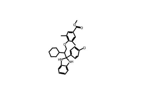 COC(=O)c1cc(C)c(OCC(C2CCCCC2)C2(c3ccc(Cl)cc3)Nc3ccccc3N2)c(C)c1